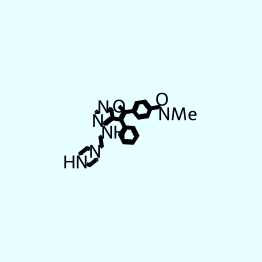 CNC(=O)c1ccc(-c2oc3ncnc(NCCN4CCNCC4)c3c2-c2ccccc2)cc1